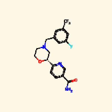 NC(=O)c1ccc([C@H]2CN(Cc3cc(F)cc(C(F)(F)F)c3)CCO2)nc1